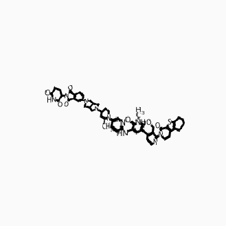 C[C@H]1CC(N2CC3CN(c4ccc5c(c4)C(=O)N(C4CCC(=O)NC4=O)C5=O)CC3C2)CCN1c1ccc(Nc2cc(-c3ccnc(N4CCc5c(sc6c5CCCC6)C4=O)c3CO)cn(C)c2=O)nc1